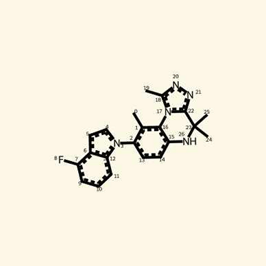 Cc1c(-n2ccc3c(F)cccc32)ccc2c1-n1c(C)nnc1C(C)(C)N2